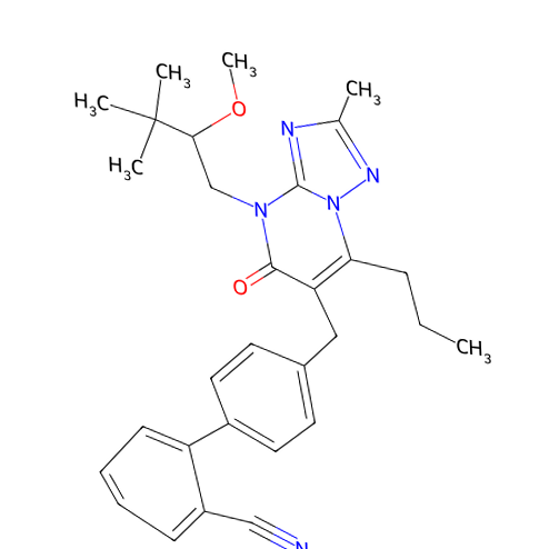 CCCc1c(Cc2ccc(-c3ccccc3C#N)cc2)c(=O)n(CC(OC)C(C)(C)C)c2nc(C)nn12